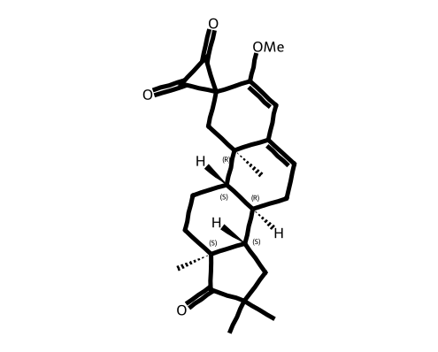 COC1=CC2=CC[C@@H]3[C@H](CC[C@]4(C)C(=O)C(C)(C)C[C@@H]34)[C@@]2(C)CC12C(=O)C2=O